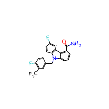 NC(=O)c1cccc2c1c1[c]c(F)ccc1n2Cc1ccc(F)c(C(F)(F)F)c1